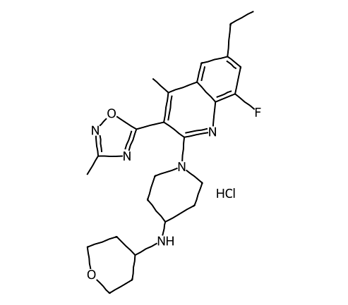 CCc1cc(F)c2nc(N3CCC(NC4CCOCC4)CC3)c(-c3nc(C)no3)c(C)c2c1.Cl